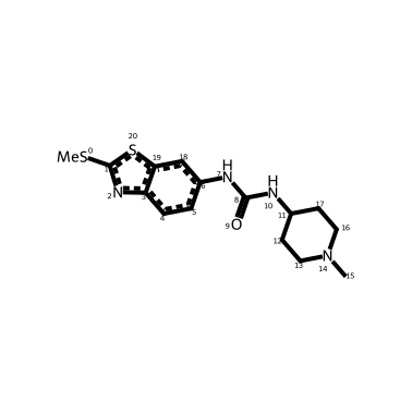 CSc1nc2ccc(NC(=O)NC3CCN(C)CC3)cc2s1